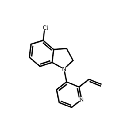 C=Cc1ncccc1N1CCc2c(Cl)cccc21